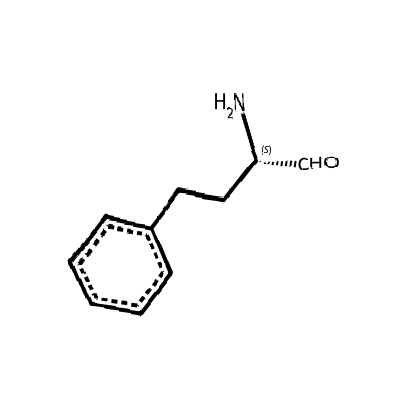 N[C@H](C=O)CCc1ccccc1